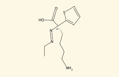 CCN=N[C@@](CCCCN)(C(=O)O)c1cccs1